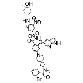 C[C@]1(O)CC[C@H](CNc2ncc(S(=O)(=O)NC(=O)c3ccc(N4CCC5(CC4)CC(N4CCOC[C@H]4c4ccccc4Br)C5)cc3Oc3cnc4[nH]ccc4c3)cc2[N+](=O)[O-])CC1